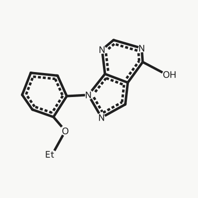 CCOc1ccccc1-n1ncc2c(O)ncnc21